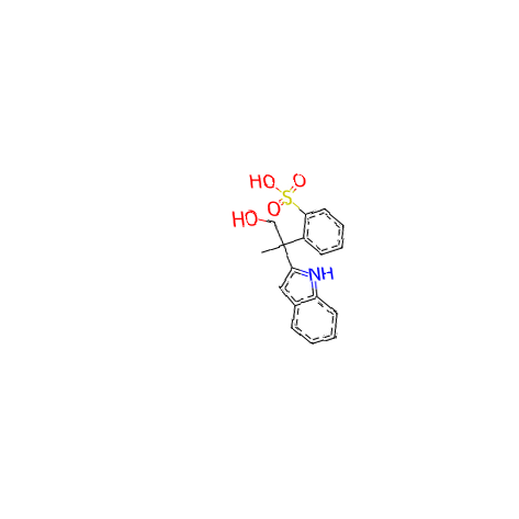 CC(CO)(c1cc2ccccc2[nH]1)c1ccccc1S(=O)(=O)O